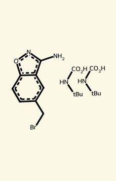 CC(C)(C)NC(=O)O.CC(C)(C)NC(=O)O.Nc1noc2ccc(CBr)cc12